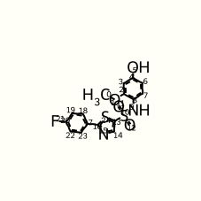 COc1cc(O)ccc1NS(=O)(=O)c1cnc(-c2ccc(F)cc2)s1